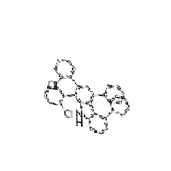 Clc1ccccc1-c1cc(-c2ccccc2)c2c([nH]c3cccc(-c4ccccc4)c32)c1-c1ccccc1Cl